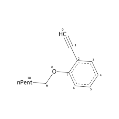 C#Cc1ccccc1OCCCCCC